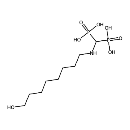 O=P(O)(O)C(NCCCCCCCCO)P(=O)(O)O